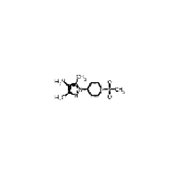 Cc1nn(C2CCN(S(C)(=O)=O)CC2)c(C)c1N